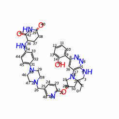 CC[C@]12CNc3nnc(-c4ccccc4O)cc3N1C[C@H](Oc1ccc(CN3CCN(c4ccc(NC5CCC(=O)NC5=O)cc4)CC3)cn1)C2